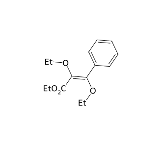 CCOC(=O)C(OCC)=C(OCC)c1ccccc1